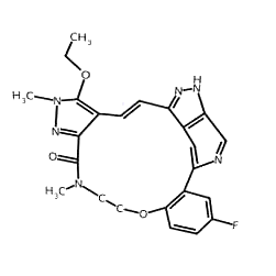 CCOc1c2c(nn1C)C(=O)N(C)CCOc1ccc(F)cc1-c1cc3c(n[nH]c3cn1)/C=C/2